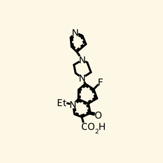 CCn1cc(C(=O)O)c(=O)c2cc(F)c(N3CCN(c4ccncc4)CC3)cc21